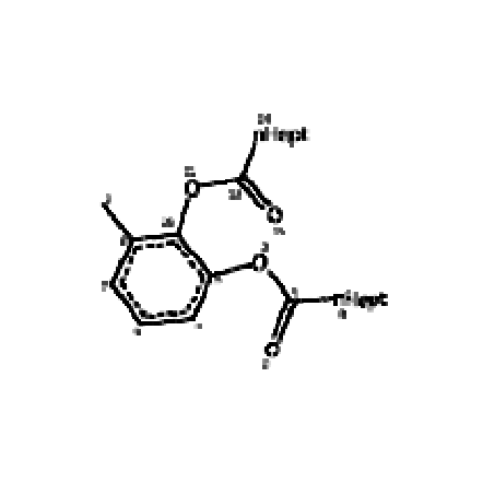 CCCCCCCC(=O)Oc1cccc(C)c1OC(=O)CCCCCCC